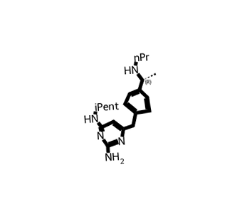 CCCN[C@H](C)c1ccc(Cc2cc(NC(C)CCC)nc(N)n2)cc1